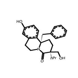 CCC[C@@]1(CO)CC[C@]2(Cc3ccccc3)c3ccc(O)cc3CCN2C1=O